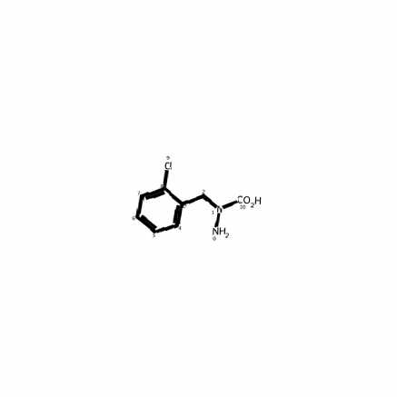 NN(Cc1ccccc1Cl)C(=O)O